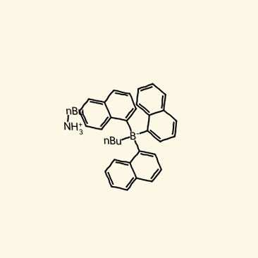 CCCC[B-](c1cccc2ccccc12)(c1cccc2ccccc12)c1cccc2ccccc12.CCCC[NH3+]